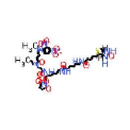 CCCN(CCC(=O)NC(CCCCNC(=O)CCCCCNC(=O)CCCCC1SC[C@@H]2NC(=O)N[C@H]12)C(=O)ON1C(=O)CCC1=O)C(=O)CCCN(CC)c1ccc([N+](=O)[O-])cc1[N+](=O)[O-]